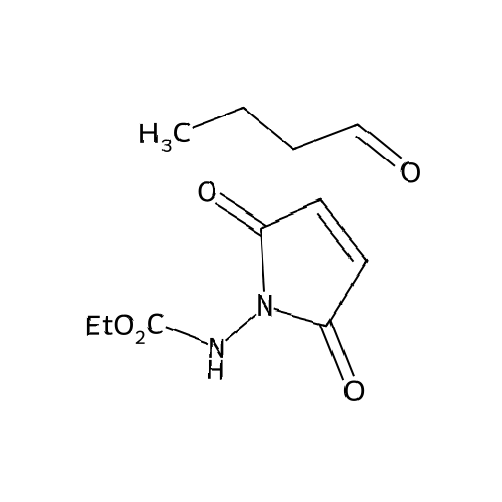 CCCC=O.CCOC(=O)NN1C(=O)C=CC1=O